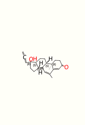 C=C=C[C@]1(O)CC[C@H]2[C@@H]3C=C(C)C4=CC(=O)CC[C@]4(C)[C@H]3CC[C@@]21C